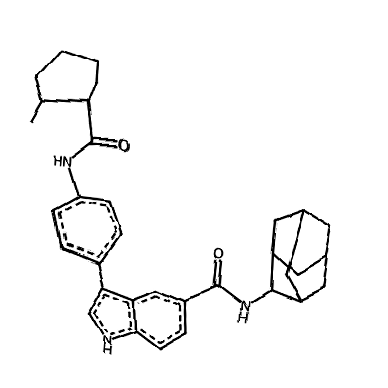 CC1CCCCC1C(=O)Nc1ccc(-c2c[nH]c3ccc(C(=O)NC4C5CC6CC(C5)CC4C6)cc23)cc1